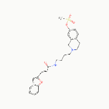 O=C(C=Cc1cc2ccccc2o1)NCCCCN1CCc2ccc(OS(=O)(=O)C(F)(F)F)cc2C1